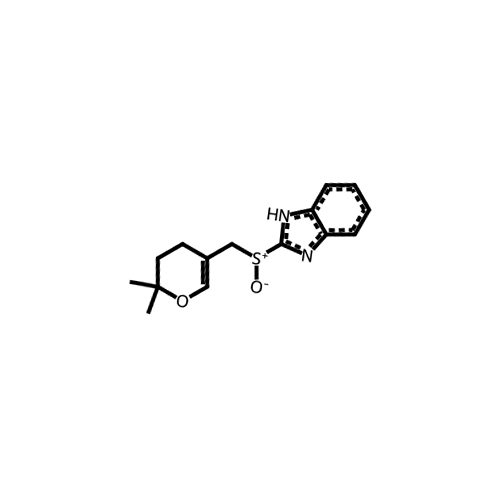 CC1(C)CCC(C[S+]([O-])c2nc3ccccc3[nH]2)=CO1